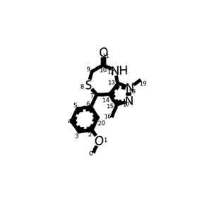 COc1cccc(C2SCC(=O)Nc3c2c(C)nn3C)c1